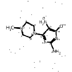 CN1CCN(c2nc(N)nc(Cl)c2N)CC1